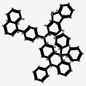 c1ccc(N2c3ccccc3[Si](c3ccccc3)(c3ccccc3)c3cc(N(c4ccc(-c5cccc6ccccc56)cc4)c4ccc5c(c4)oc4ccccc45)ccc32)cc1